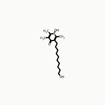 Cc1c(C)n(O)c(C)c(CCCCCCCCCCO)c1=O